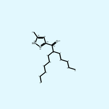 CCCCCCC(CCCCC)C(=O)c1cc(C)[nH]n1